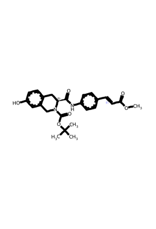 COC(=O)/C=C/c1ccc(NC(=O)[C@@H]2Cc3ccc(O)cc3CN2C(=O)OC(C)(C)C)cc1